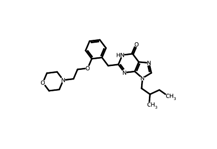 CCC(C)Cn1cnc2c(=O)[nH]c(Cc3ccccc3OCCN3CCOCC3)nc21